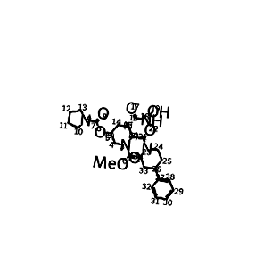 COC(=O)N1C[C@@H](OC(=O)N2CCCC2)C[C@H](C(=O)NO)[C@H]1C(=O)N1CCC(c2ccccc2)CC1